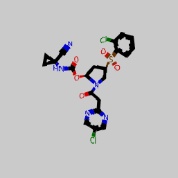 N#CC1(NC(=O)O[C@H]2C[C@@H](S(=O)(=O)c3ccccc3Cl)CN2C(=O)Cc2ncc(Cl)cn2)CC1